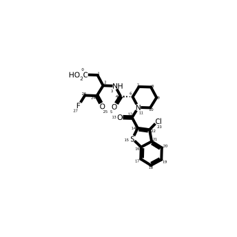 O=C(O)CC(NC(=O)[C@@H]1CCCCN1C(=O)c1sc2ccccc2c1Cl)C(=O)CF